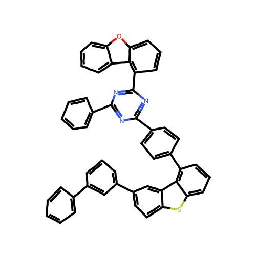 c1ccc(-c2cccc(-c3ccc4sc5cccc(-c6ccc(-c7nc(-c8ccccc8)nc(-c8cccc9oc%10ccccc%10c89)n7)cc6)c5c4c3)c2)cc1